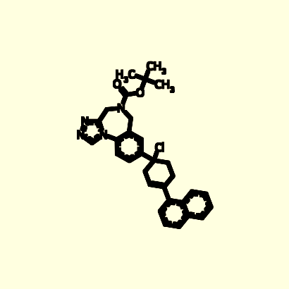 CC(C)(C)OC(=O)N1Cc2cc(C3(Cl)CC=C(c4cccc5ccccc45)CC3)ccc2-n2cnnc2C1